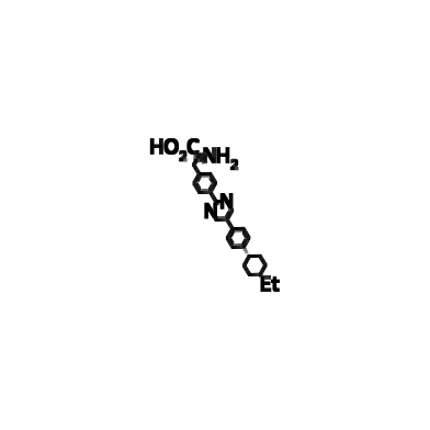 CC[C@H]1CC[C@H](c2ccc(-c3cnc(-c4ccc(C[C@H](N)C(=O)O)cc4)nc3)cc2)CC1